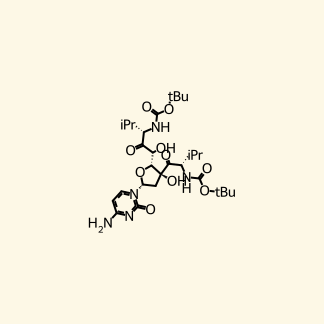 CC(C)[C@H](NC(=O)OC(C)(C)C)C(=O)C(O)[C@H]1O[C@@H](n2ccc(N)nc2=O)C[C@@]1(O)C(=O)[C@@H](NC(=O)OC(C)(C)C)C(C)C